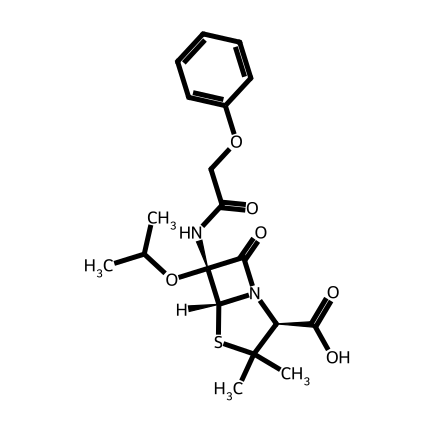 CC(C)O[C@]1(NC(=O)COc2ccccc2)C(=O)N2[C@@H](C(=O)O)C(C)(C)S[C@@H]21